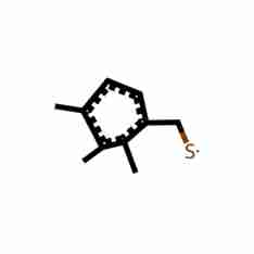 Cc1ccc(C[S])c(C)c1C